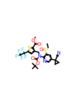 CC[S+]([O-])c1cc(C2(C#N)CC2)cnc1N(Cc1cc(C(F)(F)C(F)(F)F)sc1C(=O)OC)C(=O)OC(C)(C)C